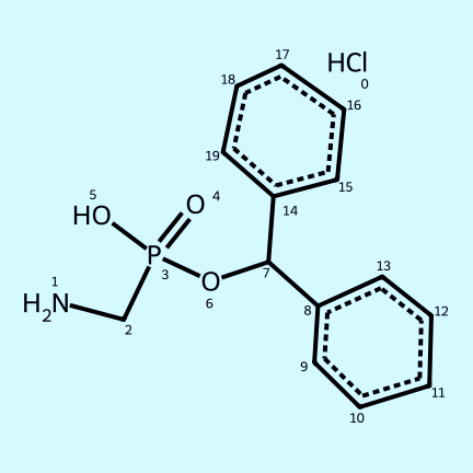 Cl.NCP(=O)(O)OC(c1ccccc1)c1ccccc1